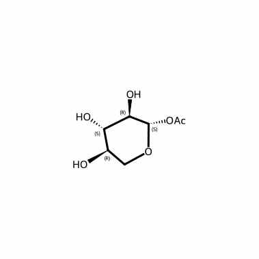 CC(=O)O[C@@H]1OC[C@@H](O)[C@H](O)[C@H]1O